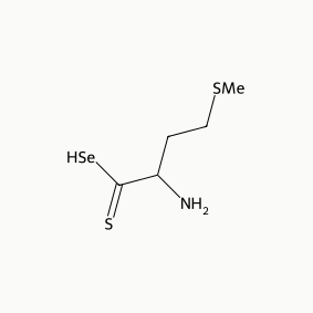 CSCCC(N)C(=S)[SeH]